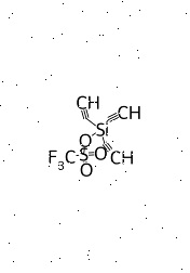 C#C[Si](C#C)(C#C)OS(=O)(=O)C(F)(F)F